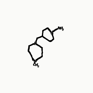 CN1CCN(CC2CCN(N)CC2)CC1